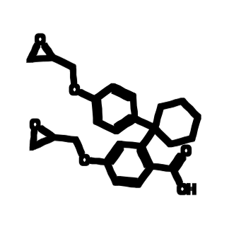 O=C(O)c1ccc(OCC2CO2)cc1C1(c2ccc(OCC3CO3)cc2)CCCCC1